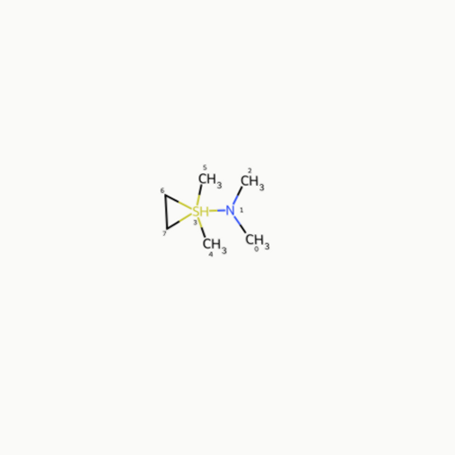 CN(C)[SH]1(C)(C)CC1